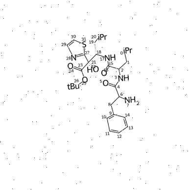 CC(C)CC(NC(=O)C(N)Cc1ccccc1)C(=O)N[C@@H](CC(C)C)[C@@](O)(C(=O)OC(C)(C)C)c1nccs1